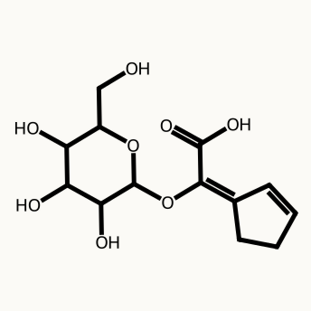 O=C(O)C(OC1OC(CO)C(O)C(O)C1O)=C1C=CCC1